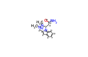 CNN(C)Cc1cc2ccccc2n1CCC(N)=O